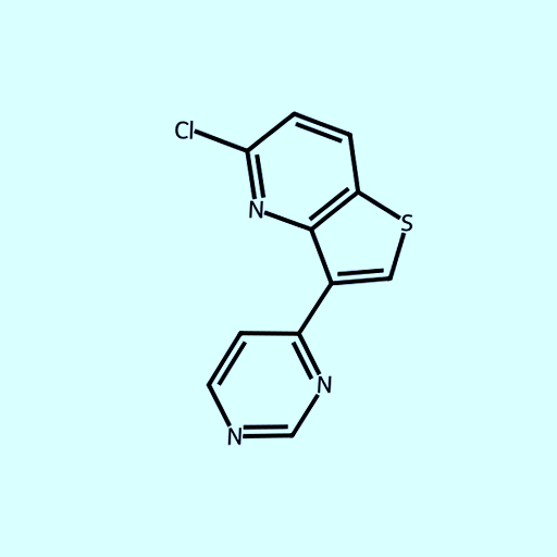 Clc1ccc2scc(-c3ccncn3)c2n1